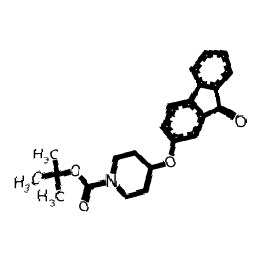 CC(C)(C)OC(=O)N1CCC(Oc2ccc3c(c2)C(=O)c2ccccc2-3)CC1